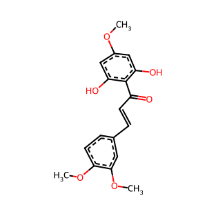 COc1cc(O)c(C(=O)C=Cc2ccc(OC)c(OC)c2)c(O)c1